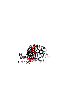 CCCCCCCC(=O)Oc1cc2c(cc1OC)[C@@]1(CS[C@@H]3c4c(OC(C)=O)c(C)c5c(c4[C@H](COC1=O)N1C3[C@@H]3N[C@@H](Cc4cc(C)c(OC)c(OC(=O)CCCCCCC)c43)[C@@H]1C#N)OCO5)NCC2